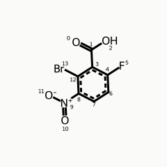 O=C(O)c1c(F)ccc([N+](=O)[O-])c1Br